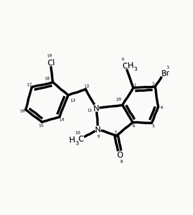 Cc1c(Br)ccc2c(=O)n(C)n(Cc3ccccc3Cl)c12